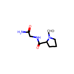 NC(=O)CNC(=O)C1CCCN1[C]=O